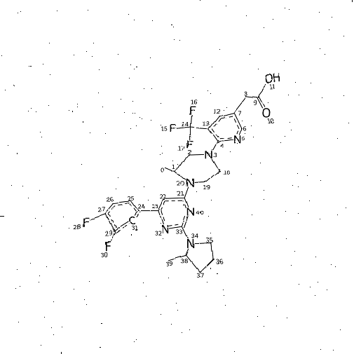 CC1CN(c2ncc(CC(=O)O)cc2C(F)(F)F)CCN1c1cc(-c2ccc(F)c(F)c2)nc(N2CCCC2C)n1